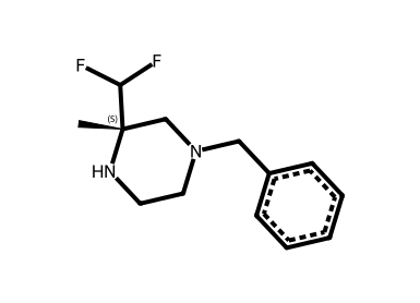 C[C@@]1(C(F)F)CN(Cc2ccccc2)CCN1